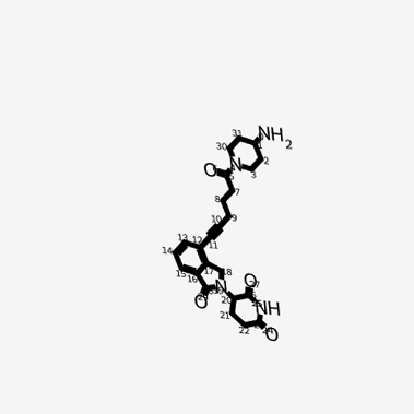 NC1CCN(C(=O)CCCC#Cc2cccc3c2CN(C2CCC(=O)NC2=O)C3=O)CC1